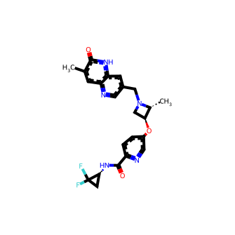 Cc1cc2ncc(CN3C[C@H](Oc4ccc(C(=O)N[C@@H]5CC5(F)F)nc4)[C@H]3C)cc2[nH]c1=O